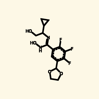 OCC(N=C(NO)c1cc(C2OCCO2)c(F)c(F)c1F)C1CC1